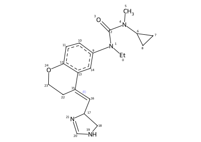 CCN(C(=O)N(C)C1CC1)c1ccc2c(c1)/C(=C/C1CNC=N1)CCO2